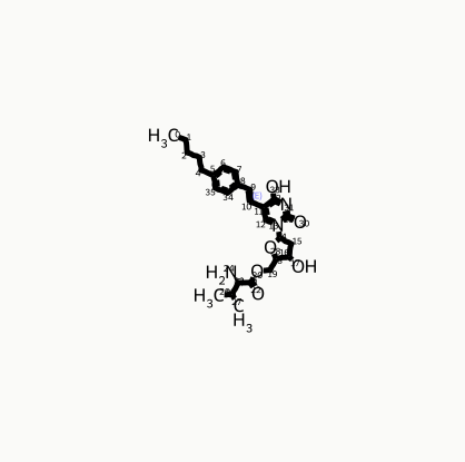 CCCCCc1ccc(/C=C/c2cn(C3CC(O)C(COC(=O)[C@@H](N)C(C)C)O3)c(=O)nc2O)cc1